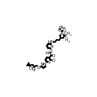 CC(C)(C)OC(=O)N1CC(CCCNc2cccc(SNC(=O)c3ccc(-n4ccc(OCC(=O)CC5(C(F)(F)F)CC5)n4)nc3Cl)n2)CC1(C)C